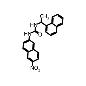 CC(NC(=O)Nc1ccc2cc([N+](=O)[O-])ccc2c1)c1cccc2ccccc12